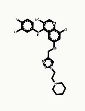 N#Cc1cnc2c(Cl)cc(NCc3cn(CCN4CCCCC4)nn3)cc2c1Nc1ccc(F)c(Cl)c1